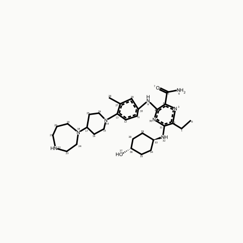 CCc1nc(C(N)=O)c(Nc2ccc(N3CCC(N4CCCNCC4)CC3)c(C)c2)nc1N[C@H]1CC[C@H](O)CC1